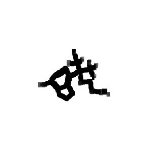 COCOC(c1ccc(O)c2c1CCC2)(C(F)(F)F)C(F)(F)F